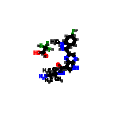 Cn1nc(-c2cnc3[nH]cc(C(=O)NC(C)(C)C(C)(C)N)c3n2)c2ccc(F)cc21.O=C(O)C(F)(F)F